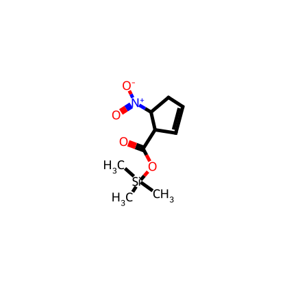 C[Si](C)(C)OC(=O)C1C=CCC1[N+](=O)[O-]